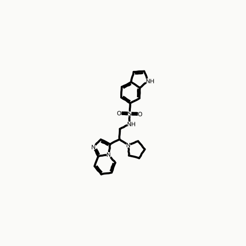 O=S(=O)(NCC(c1cnc2ccccn12)N1CCCC1)c1ccc2cc[nH]c2c1